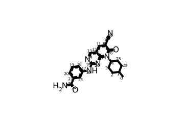 CC1CCC(n2c(=O)c(C#N)cc3cnc(Nc4cccc(C(N)=O)c4)nc32)CC1